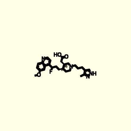 COc1ccc2nccc(C(F)CC[C@@H]3CCN(CCCc4c[nH]nc4C)C[C@@H]3CC(=O)O)c2c1